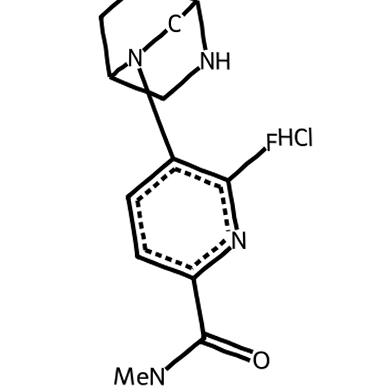 CNC(=O)c1ccc(N2CC3CCC2CN3)c(F)n1.Cl